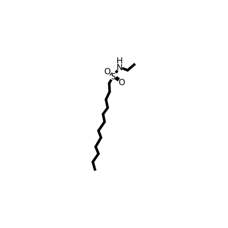 CCCCCCCCCCCCS(=O)(=O)NCC